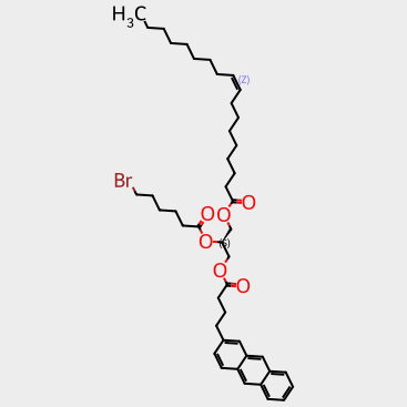 CCCCCCCC/C=C\CCCCCCCC(=O)OC[C@@H](COC(=O)CCCc1ccc2cc3ccccc3cc2c1)OC(=O)CCCCCBr